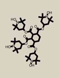 CC1(C)CC(OC(=O)C2CCC(C(=O)OC3CC(C)(C)N(O)C(C)(C)C3)C(C(=O)OC3CC(C)(C)N(O)C(C)(C)C3)C2C(=O)OC2CC(C)(C)N(O)C(C)(C)C2)CC(C)(C)N1O